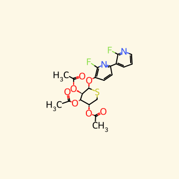 CC(=O)O[C@@H]1[C@@H](OC(C)=O)[C@@H](Oc2ccc(-c3cccnc3F)nc2F)SC[C@H]1OC(C)=O